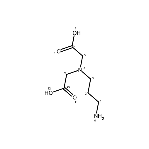 NCCCN(CC(=O)O)CC(=O)O